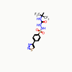 CC(NC(=O)NNS(=O)(=O)c1ccc(-c2csnn2)cc1)(C(F)(F)F)C(F)(F)F